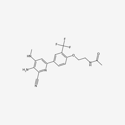 CNc1cc(-c2ccc(OCCNC(C)=O)c(C(F)(F)F)c2)nc(C#N)c1N